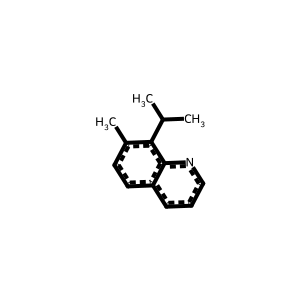 Cc1ccc2cccnc2c1C(C)C